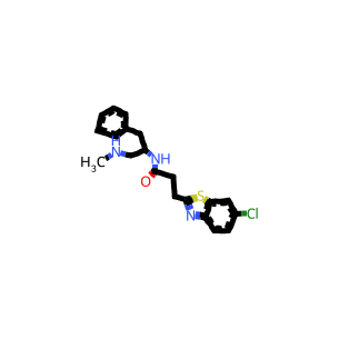 CNCC(Cc1ccccc1)NC(=O)CCc1nc2ccc(Cl)cc2s1